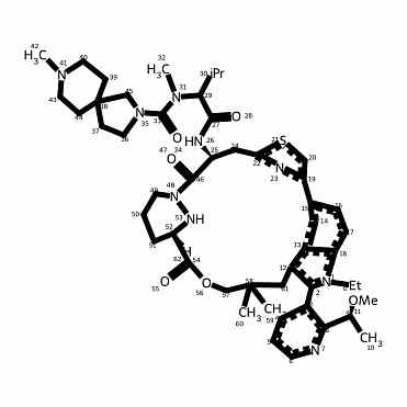 CCn1c(-c2cccnc2[C@H](C)OC)c2c3cc(ccc31)-c1csc(n1)C[C@H](NC(=O)C(C(C)C)N(C)C(=O)N1CCC3(CCN(C)CC3)C1)C(=O)N1CCC[C@H](N1)C(=O)OCC(C)(C)C2